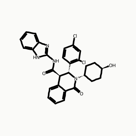 O=C(Nc1nc2ccccc2[nH]1)[C@@H]1c2ccccc2C(=O)N([C@H]2CC[C@H](O)CC2)[C@H]1c1ccc(Cl)cc1Cl